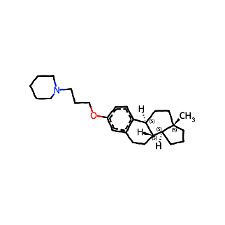 C[C@@]12CCC[C@H]1[C@@H]1CCc3cc(OCCCN4CCCCC4)ccc3[C@H]1CC2